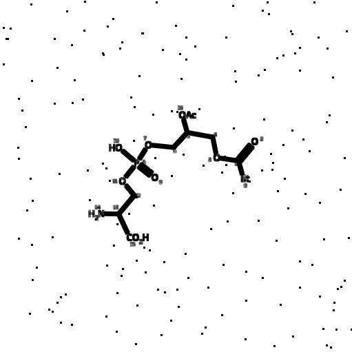 CCC(=O)OCC(COP(=O)(O)OCC(N)C(=O)O)OC(C)=O